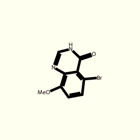 COc1ccc(Br)c2c(=O)[nH]cnc12